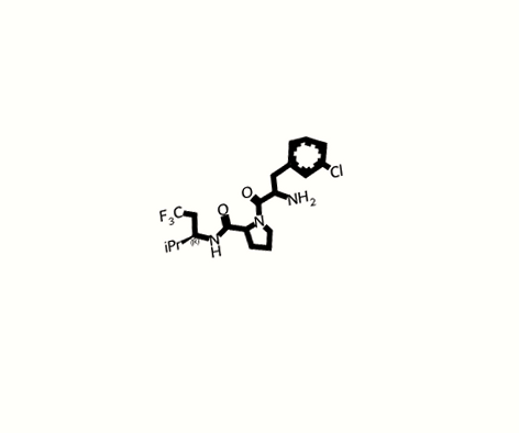 CC(C)[C@@H](CC(F)(F)F)NC(=O)C1CCCN1C(=O)C(N)Cc1cccc(Cl)c1